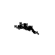 COCOC[C@H]1C[C@H]2COc3c(Sc4nc(CO)c(N5CCC6(CC5)CO[C@@H](C)[C@H]6N)nc4C)ccnc3N2C1